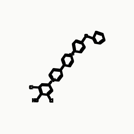 Oc1c(Cl)cc(-[n+]2ccc(-c3cc[n+](-c4ccc(Oc5ccccc5)cc4)cc3)cc2)cc1Cl